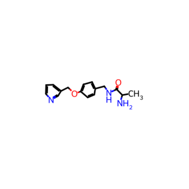 CC(N)C(=O)NCc1ccc(OCc2cccnc2)cc1